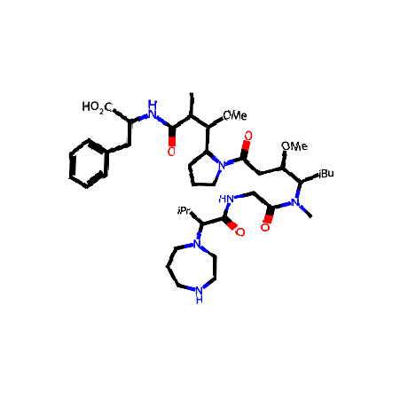 CCC(C)C(C(CC(=O)N1CCCC1C(OC)C(C)C(=O)NC(Cc1ccccc1)C(=O)O)OC)N(C)C(=O)CNC(=O)C(C(C)C)N1CCCNCC1